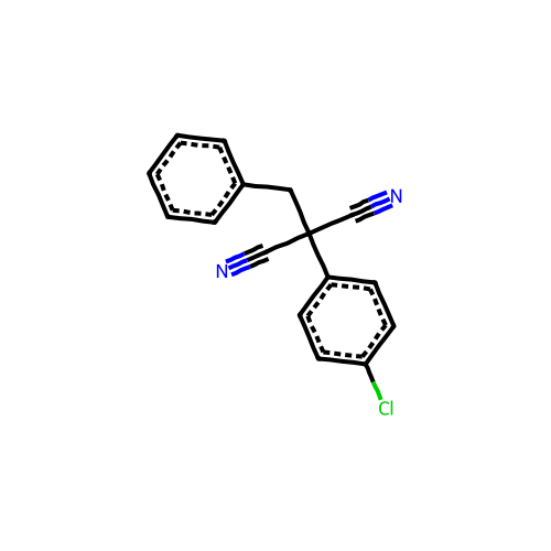 N#CC(C#N)(Cc1ccccc1)c1ccc(Cl)cc1